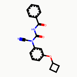 N#CN(C(=O)NC(=O)c1ccccc1)c1cccc(OC2CCC2)c1